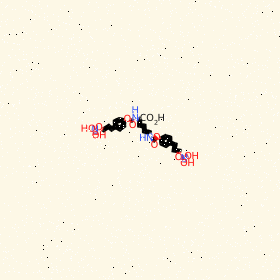 O=C(NCCCCC(NC(=O)Oc1ccc(CCCON(O)O)cc1)C(=O)O)Oc1ccc(CCCON(O)O)cc1